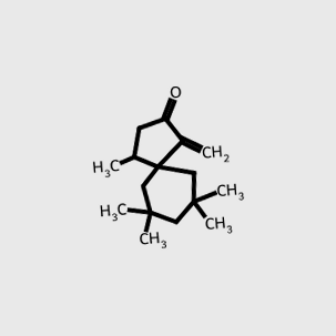 C=C1C(=O)CC(C)C12CC(C)(C)CC(C)(C)C2